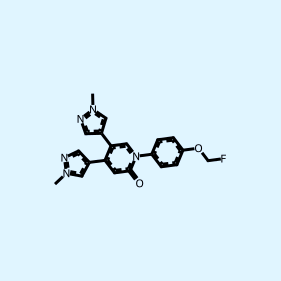 Cn1cc(-c2cc(=O)n(-c3ccc(OCF)cc3)cc2-c2cnn(C)c2)cn1